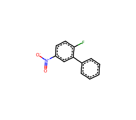 O=[N+]([O-])c1ccc(F)c(-c2ccccc2)c1